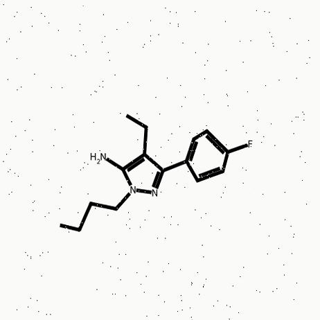 CCCCn1nc(-c2ccc(F)cc2)c(CC)c1N